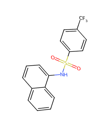 O=S(=O)(Nc1cccc2ccccc12)c1ccc(C(F)(F)F)cc1